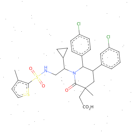 Cc1ccsc1S(=O)(=O)NCC(C1CC1)N1C(=O)C(C)(CC(=O)O)CC(c2cccc(Cl)c2)C1c1ccc(Cl)cc1